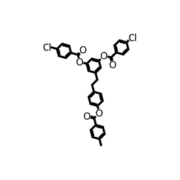 Cc1ccc(C(=O)Oc2ccc(CCc3cc(OC(=O)c4ccc(Cl)cc4)cc(OC(=O)c4ccc(Cl)cc4)c3)cc2)cc1